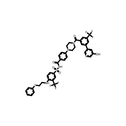 O=C(NS(=O)(=O)c1ccc(NCCSc2ccccc2)c(C(F)(F)F)c1)c1ccc(N2CCN(C(=O)c3cc(-c4cncc(O)c4)cc(C(F)(F)F)c3)CC2)cc1